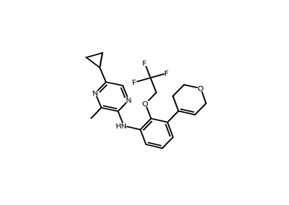 Cc1nc(C2CC2)cnc1Nc1cccc(C2=CCOCC2)c1OCC(F)(F)F